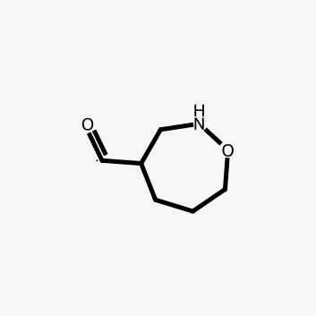 O=[C]C1CCCONC1